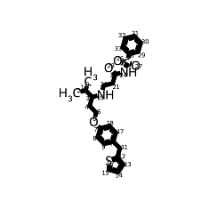 CC(C)C(CCOc1ccc(Cc2cccs2)cc1)NCCC(=O)NS(=O)(=O)c1ccccc1